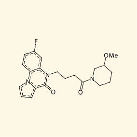 COC1CCCN(C(=O)CCCn2c(=O)c3cccn3c3ccc(F)cc32)C1